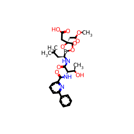 COC(=O)C[C@@]1(CC(=O)O)OB([C@H](CC(C)C)NC(=O)[C@@H](NC(=O)c2cccc(-c3ccccc3)n2)[C@@H](C)O)OC1=O